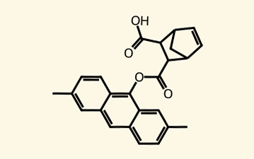 Cc1ccc2c(OC(=O)C3C4C=CC(C4)C3C(=O)O)c3cc(C)ccc3cc2c1